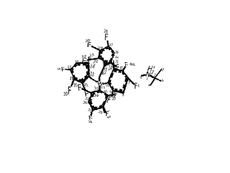 C[NH2+]C(C)(C)C.Fc1cc(F)c([B-](c2c(F)cc(F)c(F)c2F)(c2c(F)cc(F)c(F)c2F)c2c(F)cc(F)c(F)c2F)c(F)c1F